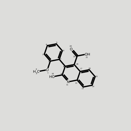 COc1ccccc1-c1c(O)nc2ccccc2c1C(=O)O